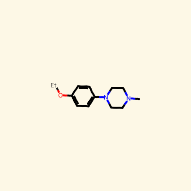 CCOc1ccc(N2CCN(C)CC2)cc1